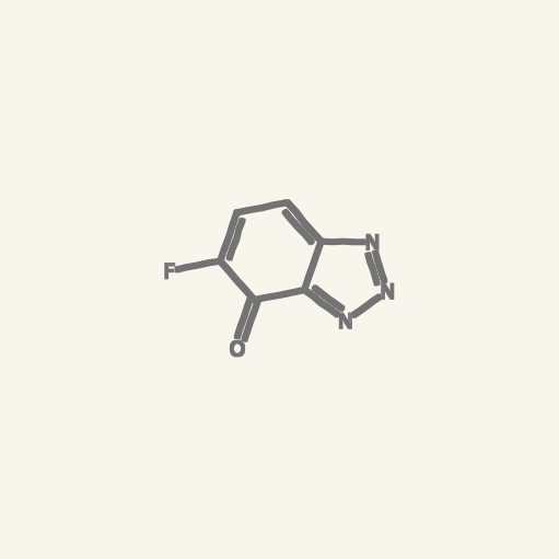 O=C1C(F)=CC=C2N=NN=C12